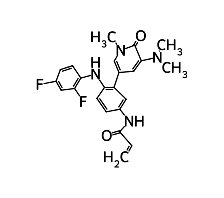 C=CC(=O)Nc1ccc(Nc2ccc(F)cc2F)c(-c2cc(N(C)C)c(=O)n(C)c2)c1